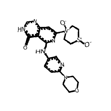 O=c1[nH]cnc2cc([N+]3([O-])CC[S+]([O-])CC3)nc(Nc3ccc(N4CCOCC4)nc3)c12